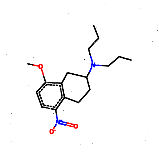 CCCN(CCC)C1CCc2c([N+](=O)[O-])ccc(OC)c2C1